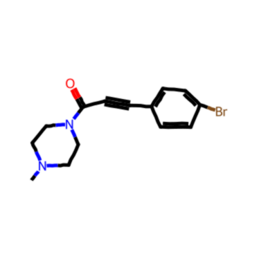 CN1CCN(C(=O)C#Cc2ccc(Br)cc2)CC1